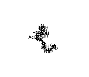 CC(=O)O[C@H]1CCN(C(=O)OCc2ccc(NC(=O)[C@H](C)NC(=O)[C@@H](NC(=O)CCN3C(=O)C=CC3=O)C(C)C)cc2)[C@H]1C(=O)N[C@@H]1[C@@H](O)[C@H](O)[C@@H](Nc2ncnc3nc[nH]c23)O[C@H]1CO